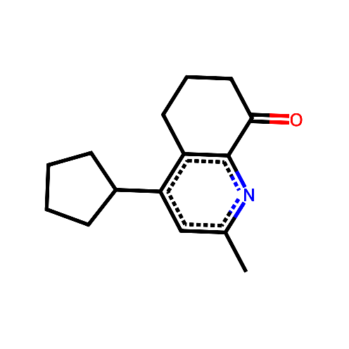 Cc1cc(C2CCCC2)c2c(n1)C(=O)CCC2